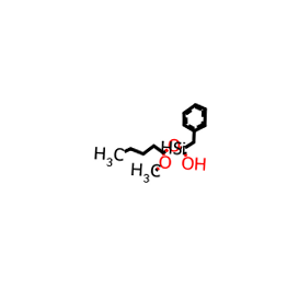 CCCCC(OC)O[SiH](O)Cc1ccccc1